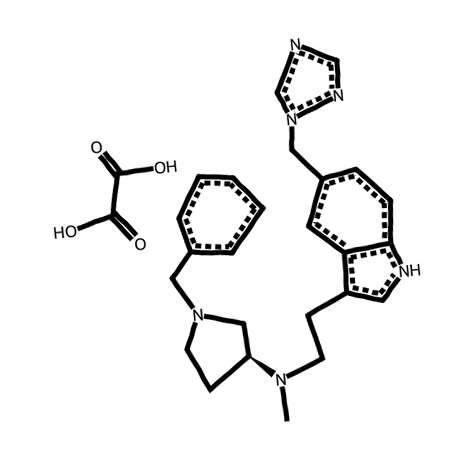 CN(CCc1c[nH]c2ccc(Cn3cncn3)cc12)[C@H]1CCN(Cc2ccccc2)C1.O=C(O)C(=O)O